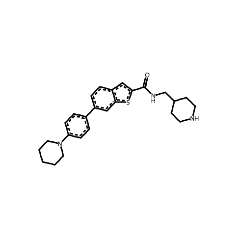 O=C(NCC1CCNCC1)c1cc2ccc(-c3ccc(N4CCCCC4)cc3)cc2s1